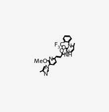 COc1nc(C=CC(=O)NN2C=CC(C)N(c3ccccc3C(F)(F)F)C2=O)ccc1-n1cnc(C)c1